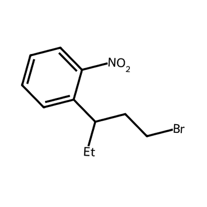 CCC(CCBr)c1ccccc1[N+](=O)[O-]